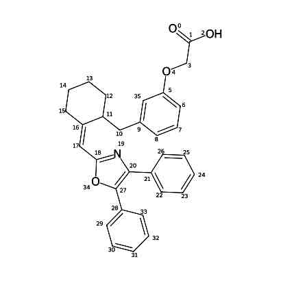 O=C(O)COc1cccc(CC2CCCC/C2=C/c2nc(-c3ccccc3)c(-c3ccccc3)o2)c1